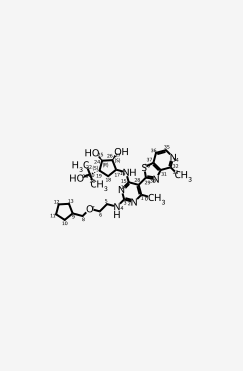 Cc1nc(NCCOCC2CCCC2)nc(NC2C[C@H](C(C)(C)O)[C@@H](O)[C@H]2O)c1-c1nc2c(C)nccc2s1